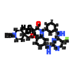 C=CC(=O)Nc1cccc(Nc2nc(Nc3ccc(OCC4(C)CCN(CC)CC4)cc3)ncc2F)c1